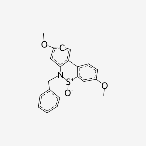 COc1ccc2c(c1)N(Cc1ccccc1)[S+]([O-])c1cc(OC)ccc1-2